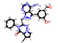 Cc1ccn2nc(Cn3nc(-c4cc(O)cc(C=O)c4)c4c(N)ncnc43)n(-c3ccccc3)c(=O)c12